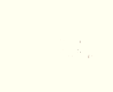 C=CCOOP(OCl)ON(C(C)C)C(C)C